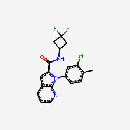 Cc1ccc(-n2c(C(=O)NC3CC(F)(F)C3)cc3cccnc32)cc1Cl